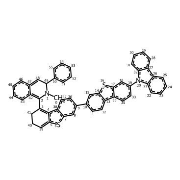 CN1C(C2=c3c(sc4cc(-c5ccc6c(c5)sc5cc(-n7c8ccccc8c8ccccc87)ccc56)ccc34)=CCC2)=c2ccccc2=CC1c1ccccc1